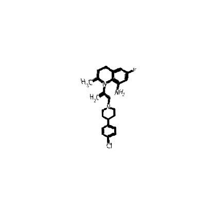 C=C(CN1CCC(c2ccc(Cl)cc2)CC1)N1c2c(N)cc(F)cc2CCC1C